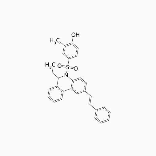 CCC1c2ccccc2-c2cc(C=Cc3ccccc3)ccc2N1S(=O)(=O)c1ccc(O)c(C)c1